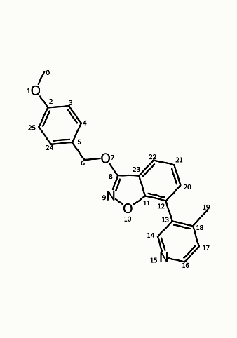 COc1ccc(COc2noc3c(-c4cnccc4C)cccc23)cc1